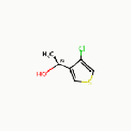 C[C@H](O)c1cscc1Cl